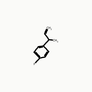 C=CC(C)c1ccc(F)cc1